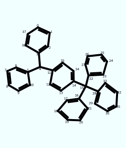 c1ccc([C](c2ccccc2)c2ccc(C(c3ccccc3)(c3ccccc3)c3ccccc3)cc2)cc1